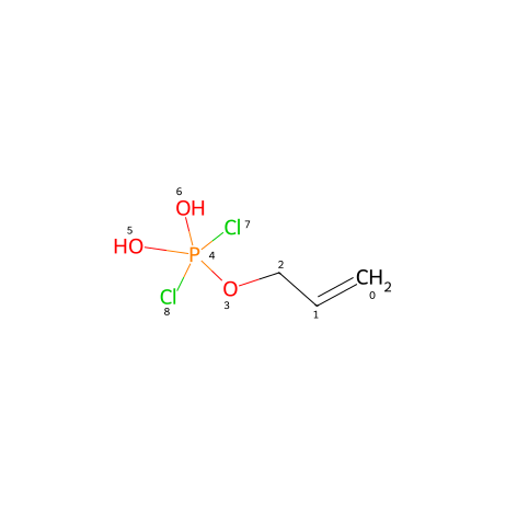 C=CCOP(O)(O)(Cl)Cl